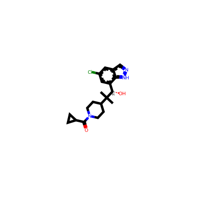 CC(C)(C1CCN(C(=O)C2CC2)CC1)[C@@H](O)c1cc(Cl)cc2cn[nH]c12